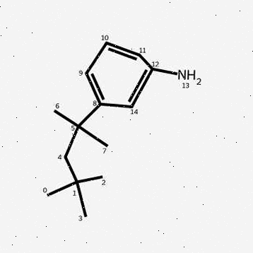 CC(C)(C)CC(C)(C)c1cccc(N)c1